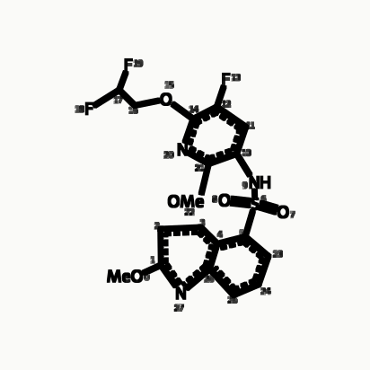 COc1ccc2c(S(=O)(=O)Nc3cc(F)c(OCC(F)F)nc3OC)cccc2n1